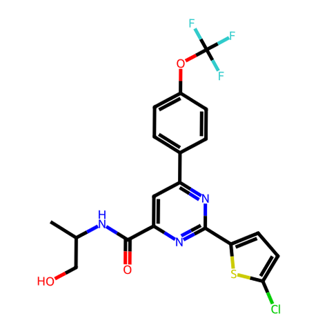 CC(CO)NC(=O)c1cc(-c2ccc(OC(F)(F)F)cc2)nc(-c2ccc(Cl)s2)n1